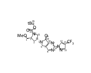 COC[C@@H]1C[C@@H](N2Cc3cnc(-n4cc(C(F)(F)F)cn4)nc3C2=O)CN1C(=O)OC(C)(C)C